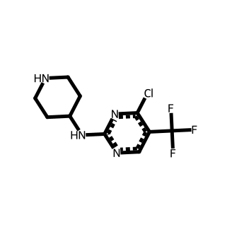 FC(F)(F)c1cnc(NC2CCNCC2)nc1Cl